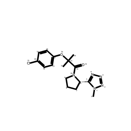 Cn1nnnc1[C@@H]1CCCN1C(=O)C(C)(C)Oc1ccc(Cl)cc1